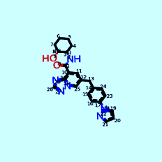 O=C(N[C@H]1CCCC[C@@H]1O)c1cc(Cc2ccc(-n3cccn3)cc2)cn2ncnc12